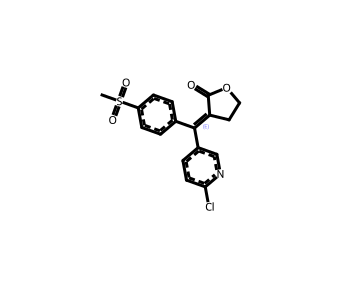 CS(=O)(=O)c1ccc(/C(=C2/CCOC2=O)c2ccc(Cl)nc2)cc1